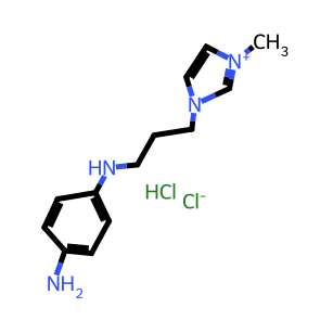 C[n+]1ccn(CCCNc2ccc(N)cc2)c1.Cl.[Cl-]